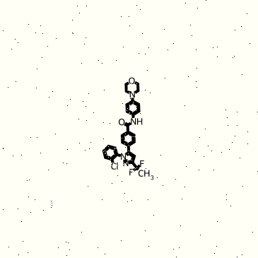 CC(F)(F)c1cc(-c2ccc(C(=O)Nc3ccc(N4CCOCC4)cc3)cc2)n(-c2ccccc2Cl)n1